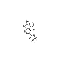 CC(C)(C)C1=Nc2ncc(C3OC(C)(C)C(C)(C)O3)c(Cl)c2C12CCCC2